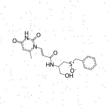 Cc1cc(=O)[nH]c(=O)n1C=CC(=O)NC(CO)C[S+]([O-])Cc1ccccc1